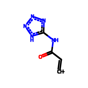 [CH]=CC(=O)Nc1nnn[nH]1